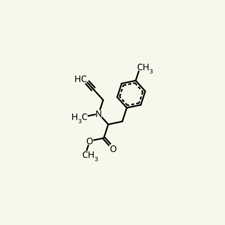 C#CCN(C)C(Cc1ccc(C)cc1)C(=O)OC